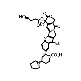 C#CCCC(=O)OC1(CC)C(=O)OCc2c1cc1n(c2=O)Cc2c-1nc1ccc([C@@H]3CC(N4CCCCC4)CCN3C(=O)O)cc1c2CC